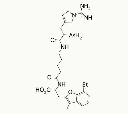 CCc1cccc2c(C)c(CC(NC(=O)CCCCNC(=O)C([AsH2])CC3=CCN(C(=N)N)C3)C(=O)O)oc12